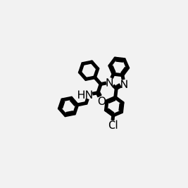 O=C(NCc1ccccc1)C(C1CCCCC1)n1c(-c2ccc(Cl)cc2)nc2ccccc21